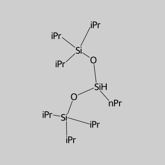 CCC[SiH](O[Si](C(C)C)(C(C)C)C(C)C)O[Si](C(C)C)(C(C)C)C(C)C